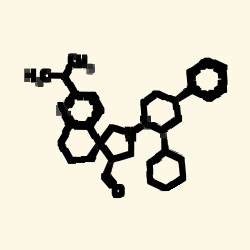 CC(C)c1ccc2c(n1)CCC[C@]21CN(N2CC[C@@H](c3ccccc3)C[C@H]2C2CCCCC2)C[C@H]1C=O